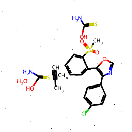 C.C#CC.CS(=O)(=O)c1ccccc1-c1ocnc1-c1ccc(Cl)cc1.NC(O)=S.NC(O)=S.O